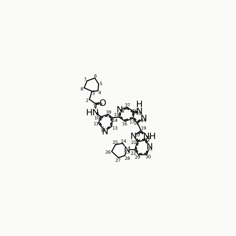 O=C(CC1CCCCC1)Nc1cncc(-c2cc3c(-c4nc5c(N6CCCCC6)ccnc5[nH]4)n[nH]c3cn2)c1